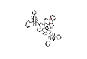 c1ccc(-c2ccc(-c3cc(-c4nc(-c5ccccc5)nc(-c5ccccc5)n4)c4cccc5c6cccc7c(-c8nc(-c9ccccc9)nc(-c9ccccc9)n8)cc(-c8ccc(-c9ccccc9)cc8)c(oc3c45)c76)cc2)cc1